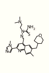 Cc1cc2nc(-c3cncn3C)cc(/C=N/N(CCN(C)C)C(N)=S)c2cc1CC1CCOCC1